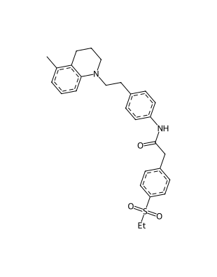 CCS(=O)(=O)c1ccc(CC(=O)Nc2ccc(CCN3CCCc4c(C)cccc43)cc2)cc1